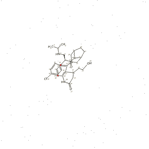 CC(C)NC[C@@H](C(=O)N1C2CCC1CN(c1ncnc3c1N(CCO)CC(=O)N3)C2)c1ccc(Cl)cc1